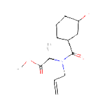 C=CCN(C(=O)C1CCCC(O)C1)[C@H](C(=O)OC(C)(C)C)C(C)C